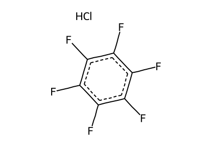 Cl.Fc1c(F)c(F)c(F)c(F)c1F